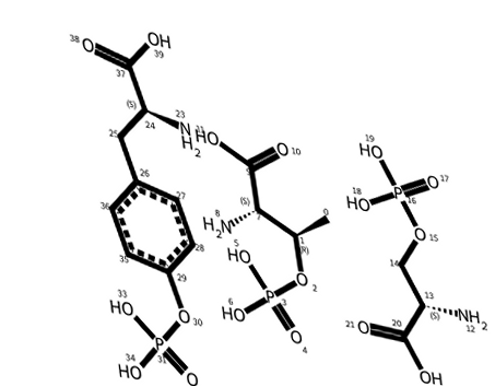 C[C@@H](OP(=O)(O)O)[C@H](N)C(=O)O.N[C@@H](COP(=O)(O)O)C(=O)O.N[C@@H](Cc1ccc(OP(=O)(O)O)cc1)C(=O)O